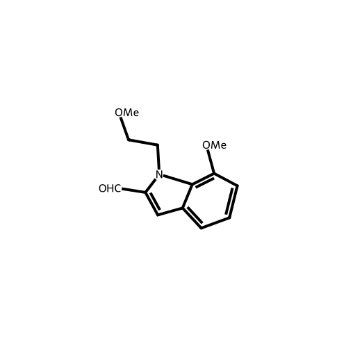 COCCn1c(C=O)cc2cccc(OC)c21